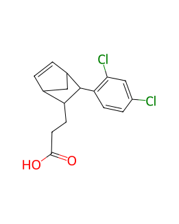 O=C(O)CCC1C2C=CC(C2)C1c1ccc(Cl)cc1Cl